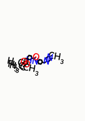 CN1CCN(Cc2ccc(NC(=O)c3cccc(B4OC(C)(C)C(C)(C)O4)c3)cc2)CC1